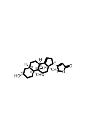 C[C@]12CC[C@H]3[C@@H](CC[C@@H]4C[C@@H](O)CC[C@@]43C=O)C1=CC[C@@H]2C1=CC(=O)OC1